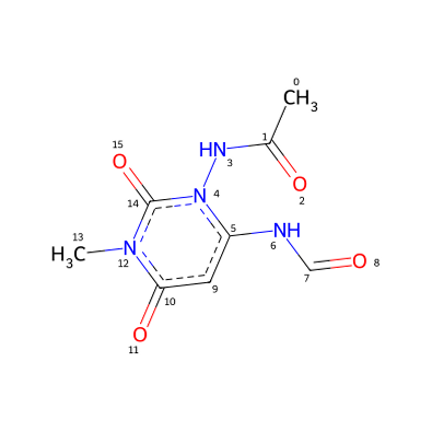 CC(=O)Nn1c(NC=O)cc(=O)n(C)c1=O